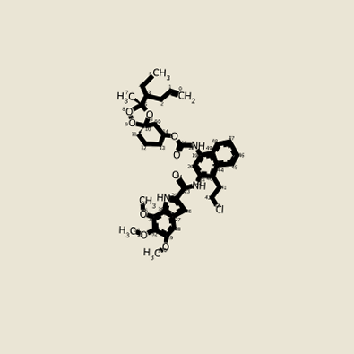 C=CCC(CC)[C@@]1(C)OO[C@@]2(CCCC(OC(=O)Nc3cc(NC(=O)c4cc5cc(OC)c(OC)c(OC)c5[nH]4)c(CCCl)c4ccccc34)C2)O1